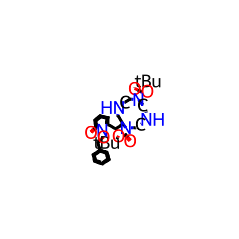 CC(C)(C)OC(=O)N1CCNCCN(C(=O)OC(C)(C)C)C(Cc2cccc(=O)n2OCc2ccccc2)CNCC1